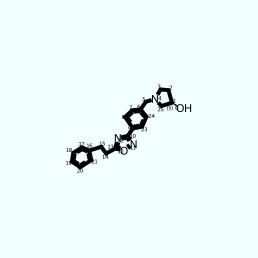 O[C@H]1CCN(Cc2ccc(-c3noc(CCc4ccccc4)n3)cc2)C1